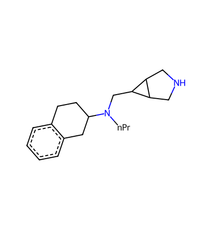 CCCN(CC1C2CNCC21)C1CCc2ccccc2C1